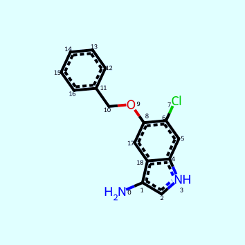 Nc1c[nH]c2cc(Cl)c(OCc3ccccc3)cc12